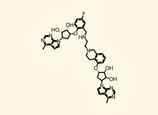 Cc1ncnc2c1ccn2C1C[C@H](Oc2cccc3c2CCN(CCNCc2cc(F)ccc2O[C@H]2C[C@@H](n4ccc5c(C)ncnc54)[C@H](O)[C@@H]2O)C3)[C@@H](O)[C@H]1O